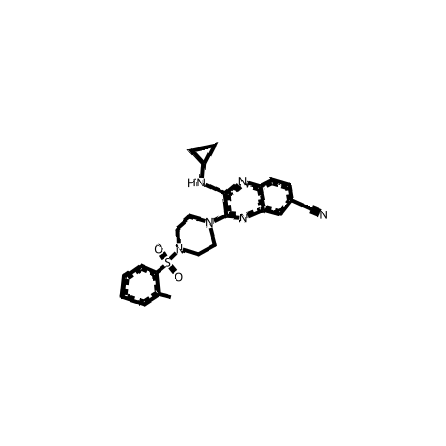 Cc1ccccc1S(=O)(=O)N1CCN(c2nc3cc(C#N)ccc3nc2NC2CC2)CC1